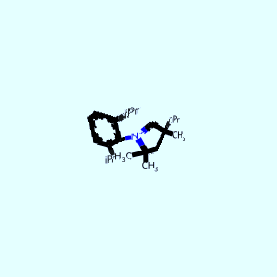 CCCC1(C)C=[N+](c2c(C(C)C)cccc2C(C)C)C(C)(C)C1